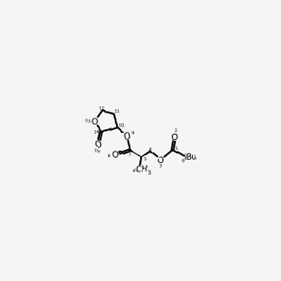 CCC(C)C(=O)OCC(C)C(=O)OC1CCOC1=O